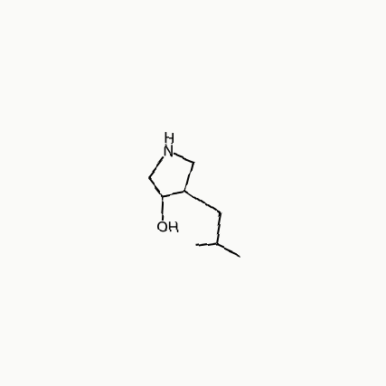 CC(C)CC1CNCC1O